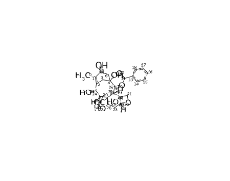 CC1=C2CC(O)(C[C@@H]1O)[C@@H](OC(=O)c1ccccc1)[C@H]1C(C)(C(=O)C2O)C(O)C[C@H]2OC[C@]21O